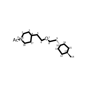 CC(=O)N1CCC(CCOCC[C@H]2CC[C@H](C)CC2)CC1